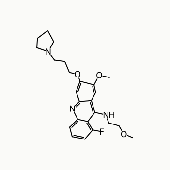 COCCNc1c2cc(OC)c(OCCCN3CCCC3)cc2nc2cccc(F)c12